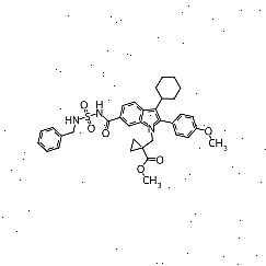 COC(=O)C1(Cn2c(-c3ccc(OC)cc3)c(C3CCCCC3)c3ccc(C(=O)NS(=O)(=O)NCc4ccccc4)cc32)CC1